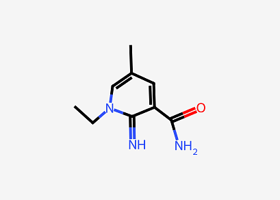 CCn1cc(C)cc(C(N)=O)c1=N